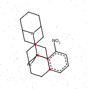 CC(=O)N(c1ccccc1[N+](=O)[O-])C1CC2CCCC(C1)N2C1CC2CCCC(C2)C1